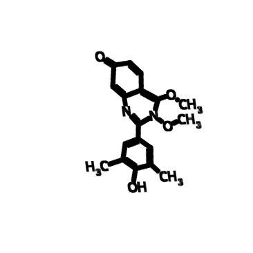 COc1c2ccc(=O)cc-2nc(-c2cc(C)c(O)c(C)c2)n1OC